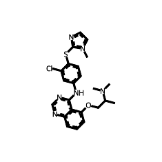 CC(COc1cccc2ncnc(Nc3ccc(Sc4nccn4C)c(Cl)c3)c12)N(C)C